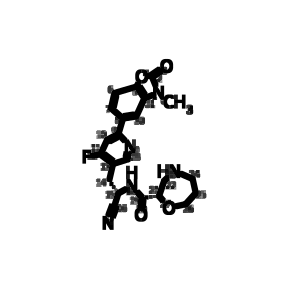 Cn1c(=O)oc2ccc(-c3cc(F)c(C[C@@H](C#N)NC(=O)[C@@H]4CNCCCO4)cn3)cc21